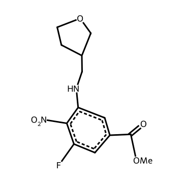 COC(=O)c1cc(F)c([N+](=O)[O-])c(NCC2CCOC2)c1